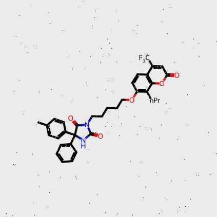 CCCc1c(OCCCCCN2C(=O)NC(c3ccccc3)(c3ccc(C)cc3)C2=O)ccc2c(C(F)(F)F)cc(=O)oc12